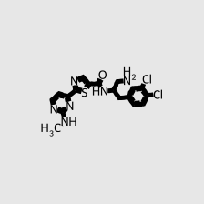 CNc1nccc(-c2ncc(C(=O)NC(CN)Cc3ccc(Cl)c(Cl)c3)s2)n1